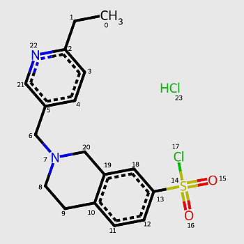 CCc1ccc(CN2CCc3ccc(S(=O)(=O)Cl)cc3C2)cn1.Cl